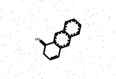 N=C1CC=Cc2cc3ccccc3cc21